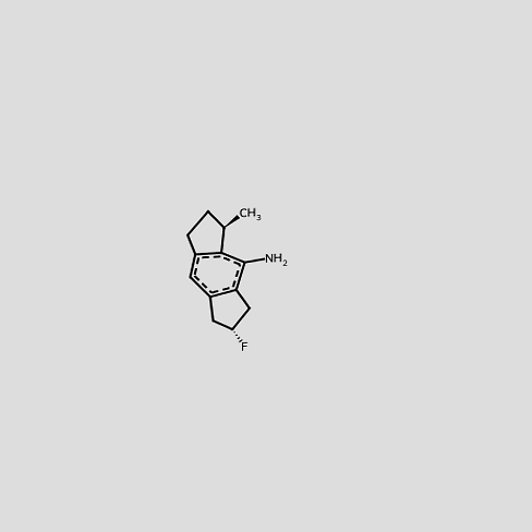 C[C@@H]1CCc2cc3c(c(N)c21)C[C@H](F)C3